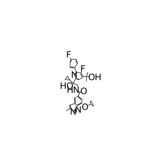 Cc1cc2cc(C(=O)NC[C@](O)(c3cc(C(C)(C)O)c(F)c(-c4ccc(F)cc4)n3)C3CC3)cc(OC3CC3)c2nn1